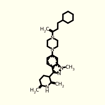 C=C1CCC(c2nn(C)c3cc(N4CCN(C(=C)CCC5CCCCC5)CC4)ccc23)C(=C)N1